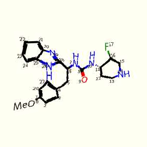 COc1ccc(CC(NC(=O)N[C@H]2CCNC[C@@H]2F)c2nc3ccccc3[nH]2)cc1